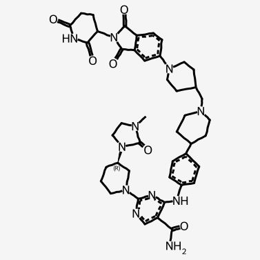 CN1CCN([C@@H]2CCCN(c3ncc(C(N)=O)c(Nc4ccc(C5CCN(CC6CCN(c7ccc8c(c7)C(=O)N(C7CCC(=O)NC7=O)C8=O)CC6)CC5)cc4)n3)C2)C1=O